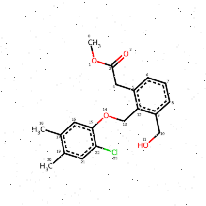 COC(=O)Cc1cccc(CO)c1COc1cc(C)c(C)cc1Cl